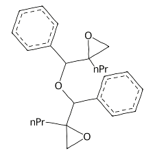 CCCC1(C(OC(c2ccccc2)C2(CCC)CO2)c2ccccc2)CO1